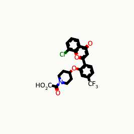 O=C(O)C(=O)N1CCC(Oc2cc(C(F)(F)F)ccc2-c2cc(=O)c3cccc(Cl)c3o2)CC1